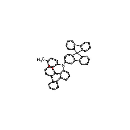 Cc1ccc(N(c2ccc3c(c2)-c2ccccc2C32c3ccccc3-c3ccccc32)c2cccc3c4ccccc4c4ccccc4c23)cc1